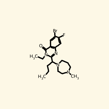 CCCC(c1nc2cc(F)c(Br)cc2c(=O)n1CC)N1CCCN(C)CC1